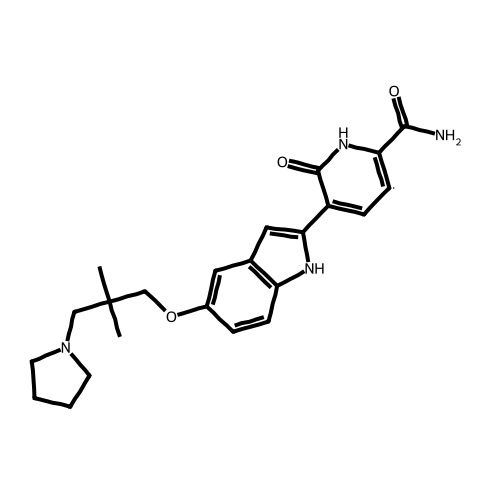 CC(C)(COc1ccc2[nH]c(-c3c[c]c(C(N)=O)[nH]c3=O)cc2c1)CN1CCCC1